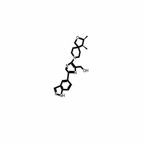 C[C@@H]1OCC2(CCN(c3ncc(-c4ccc5[nH]ncc5c4)nc3CO)CC2)[C@@H]1C